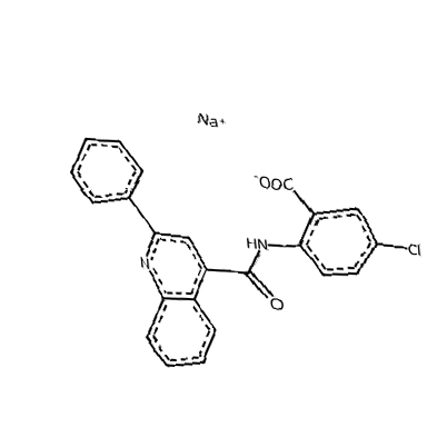 O=C([O-])c1cc(Cl)ccc1NC(=O)c1cc(-c2ccccc2)nc2ccccc12.[Na+]